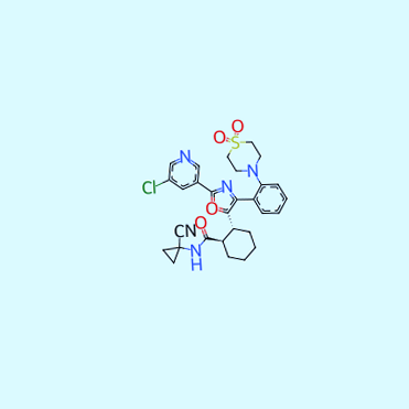 N#CC1(NC(=O)[C@@H]2CCCC[C@H]2c2oc(-c3cncc(Cl)c3)nc2-c2ccccc2N2CCS(=O)(=O)CC2)CC1